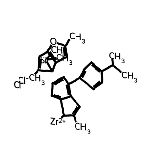 CC1=C2c3oc(C)cc3C1[Si]2(C)C.CC1=Cc2c(-c3ccc(C(C)C)cc3)cccc2[CH]1[Zr+2].[Cl-].[Cl-]